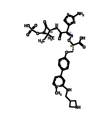 C[n+]1ccc(-c2ccc(OC[C@H](O/N=C(\C(=O)N[C@@H]3C(=O)N(OS(=O)(=O)O)C3(C)C)c3csc(N)n3)C(=O)O)cc2)cc1NCC1CNC1